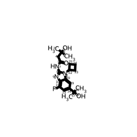 CC(C)(O)CC(=O)Nc1nc2c(F)cc(C(C)(C)O)cc2n1C1CCC1